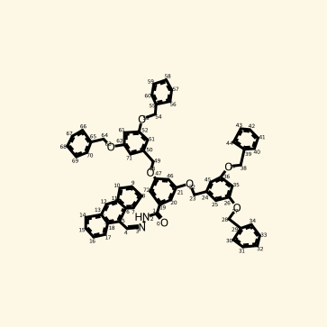 O=C(N/N=C\c1c2ccccc2cc2ccccc12)c1cc(OCc2cc(OCc3ccccc3)cc(OCc3ccccc3)c2)cc(OCc2cc(OCc3ccccc3)cc(OCc3ccccc3)c2)c1